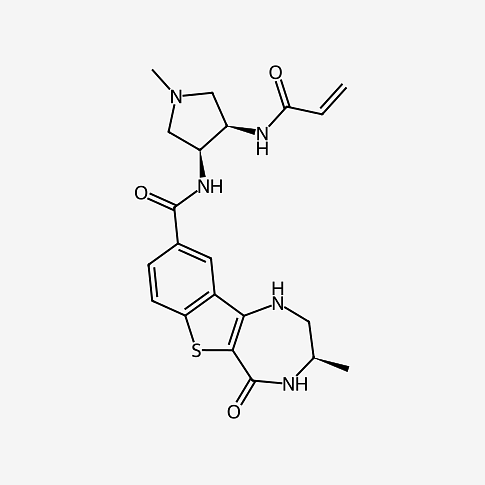 C=CC(=O)N[C@@H]1CN(C)C[C@@H]1NC(=O)c1ccc2sc3c(c2c1)NC[C@@H](C)NC3=O